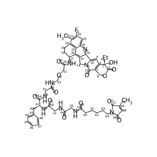 CC[C@@]1(O)C(=O)OCc2c1cc1n(c2=O)Cc2c-1nc1cc(F)c(C)c3c1c2[C@@H](NC(=O)COCNC(=O)CNC(=O)[C@H](Cc1ccccc1)NC(=O)CNC(=O)CNC(=O)CCCCCN1C(=O)C=C(C)C1=O)CC3